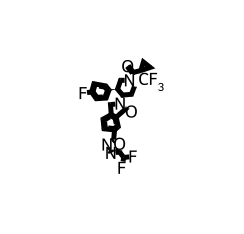 O=C1c2cc(-c3nnc(C(F)F)o3)ccc2CN1[C@@H]1CCN(C(=O)C2(C(F)(F)F)CC2)C[C@H]1c1ccc(F)cc1